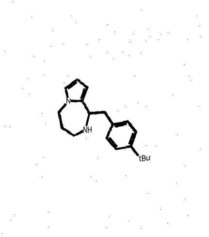 CC(C)(C)c1ccc(CC2NCCCn3cccc32)cc1